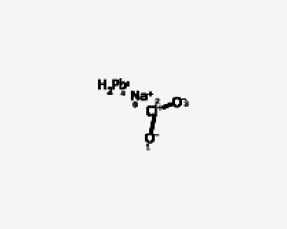 [Na+].[O-][Cl+][O-].[PbH2]